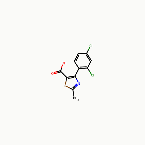 Bc1nc(-c2ccc(Cl)cc2Cl)c(C(=O)O)s1